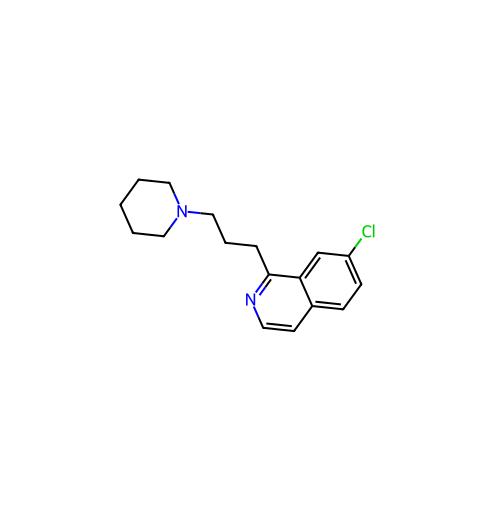 Clc1ccc2ccnc(CCCN3CCCCC3)c2c1